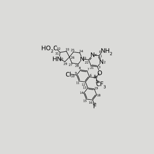 Nc1nc(O[C@H](c2ccc(Cl)cc2-c2ccc(F)cc2)C(F)(F)F)cc(N2CCC3(CC2)CNC(C(=O)O)C3)n1